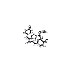 CC(C)(C)OC(=O)N1CCC2(C1)/C(=C\c1ccc(Cl)cc1)C(=O)/C2=C/c1ccc(Cl)cc1